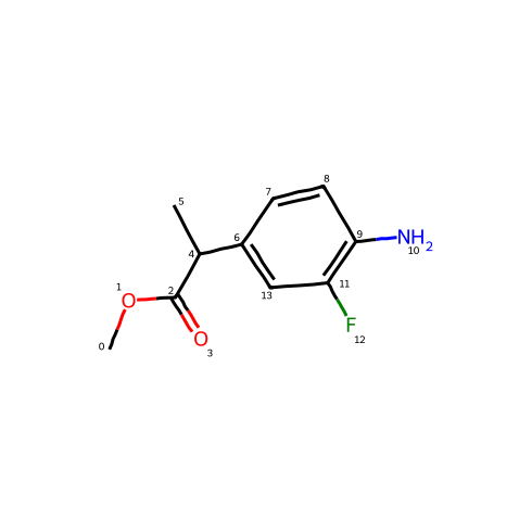 COC(=O)C(C)c1ccc(N)c(F)c1